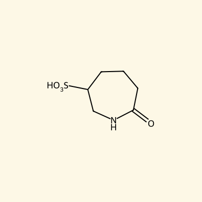 O=C1CCCC(S(=O)(=O)O)CN1